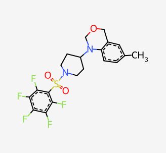 Cc1ccc2c(c1)COCN2C1CCN(S(=O)(=O)c2c(F)c(F)c(F)c(F)c2F)CC1